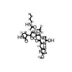 CCCCNC(=O)C[C@H](NC(=O)[C@H](CC(C)C)NC(=O)[C@H](Cc1csc(OC)n1)NC(=O)O)C(=O)[C@@H]1CCNC1=O